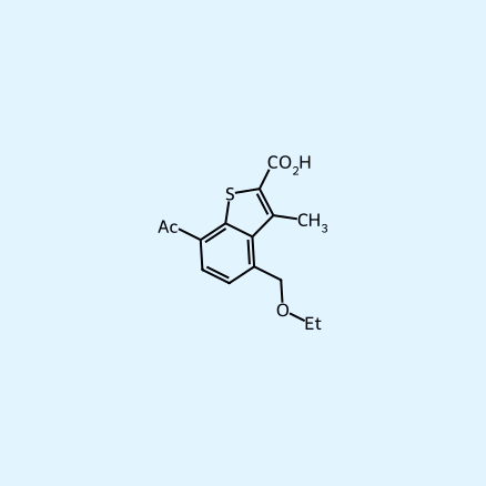 CCOCc1ccc(C(C)=O)c2sc(C(=O)O)c(C)c12